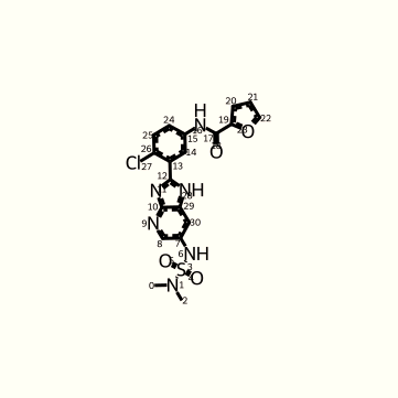 CN(C)S(=O)(=O)Nc1cnc2nc(-c3cc(NC(=O)c4ccco4)ccc3Cl)[nH]c2c1